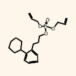 C=CCOP(=O)(OCC=C)OCCCc1ccccc1C1CCCCC1